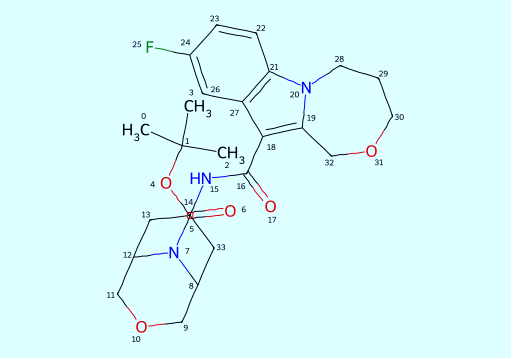 CC(C)(C)OC(=O)N1C2COCC1CC(NC(=O)c1c3n(c4ccc(F)cc14)CCCOC3)C2